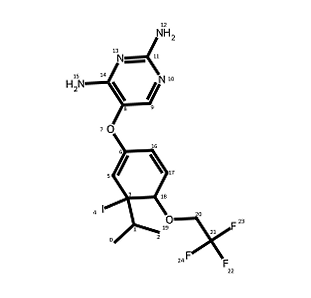 CC(C)C1(I)C=C(Oc2cnc(N)nc2N)C=CC1OCC(F)(F)F